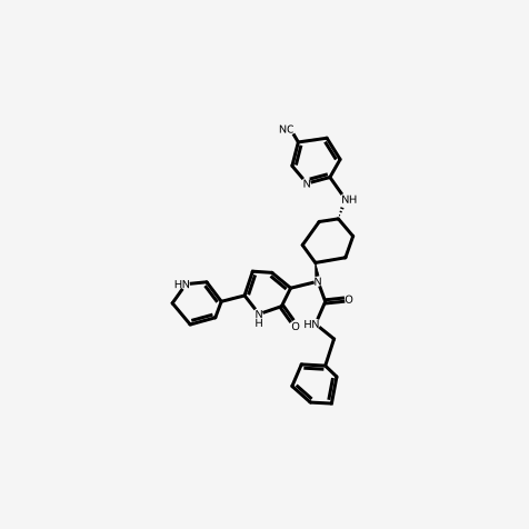 N#Cc1ccc(N[C@H]2CC[C@H](N(C(=O)NCc3ccccc3)c3ccc(C4=CNCC=C4)[nH]c3=O)CC2)nc1